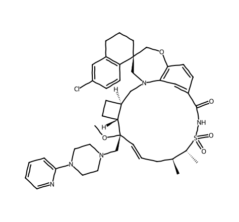 CO[C@@]1(CN2CCN(c3ccccn3)CC2)/C=C/C[C@H](C)[C@@H](C)S(=O)(=O)NC(=O)c2ccc3c(c2)N(C[C@@H]2CC[C@H]21)C[C@@]1(CCCc2cc(Cl)ccc21)CO3